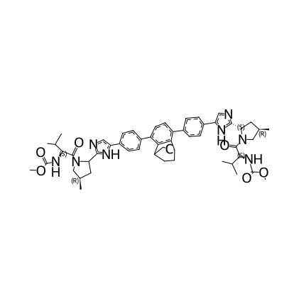 COC(=O)N[C@H](C(=O)N1C[C@H](C)CC1c1ncc(-c2ccc(-c3ccc(-c4ccc(-c5cnc([C@@H]6C[C@@H](C)CN6C(=O)[C@@H](NC(=O)OC)C(C)C)[nH]5)cc4)c4c3C3CCC4CC3)cc2)[nH]1)C(C)C